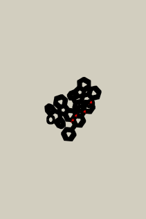 c1ccc(-c2ccc(-c3ccccc3N(c3cccc4c3-c3ccccc3C43c4ccccc4Oc4ccccc43)c3cccc4c3C3(c5ccccc5Oc5ccccc53)c3ccccc3-4)cc2)cc1